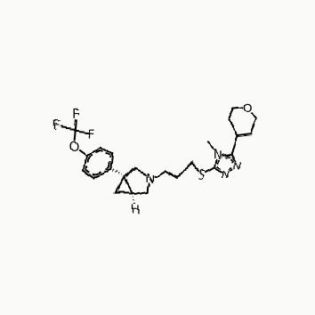 Cn1c(SCCCN2C[C@H]3C[C@@]3(c3ccc(OC(F)(F)F)cc3)C2)nnc1C1CCOCC1